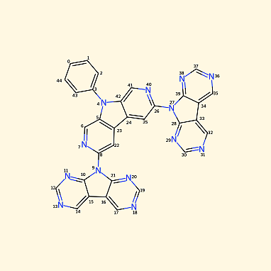 c1ccc(-n2c3cnc(-n4c5ncncc5c5cncnc54)cc3c3cc(-n4c5ncncc5c5cncnc54)ncc32)cc1